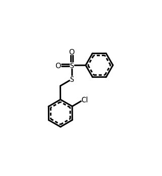 O=S(=O)(SCc1ccccc1Cl)c1ccccc1